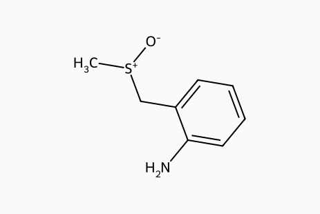 C[S+]([O-])Cc1ccccc1N